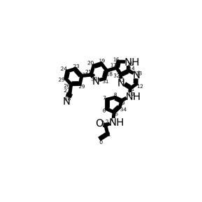 C=CC(=O)Nc1cccc(Nc2cnc3[nH]cc(-c4ccc(-c5cccc(C#N)c5)nc4)c3n2)c1